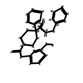 C=C(Cc1cccc(CC)c1)N1CCC(C(=O)NCc2ccccc2)(c2ccccc2)CC1